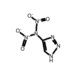 O=[N+]([O-])N(c1c[nH]nn1)[N+](=O)[O-]